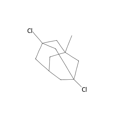 CC12CC3CC(Cl)(C1)CC(Cl)(C3)C2